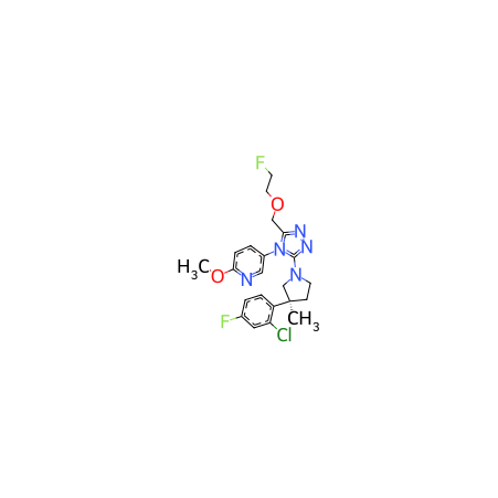 COc1ccc(-n2c(COCCF)nnc2N2CC[C@@](C)(c3ccc(F)cc3Cl)C2)cn1